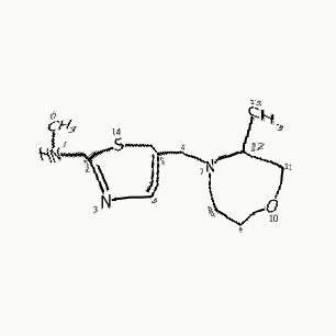 CNc1ncc(CN2CCOCC2C)s1